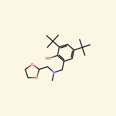 CN(Cc1cc(C(C)(C)C)cc(C(C)(C)C)c1O)CC1OCCO1